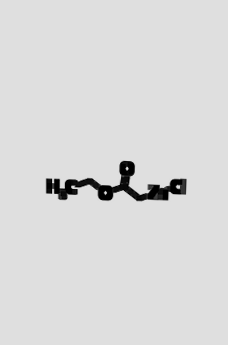 CCOC(=O)[CH2][Zn][Cl]